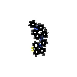 C1=Cc2sc3ccccc3c2C(N(c2ccccc2)c2cccc(-n3c4cccc5c4c4c6c(ccc7c6c6c-5cccc6n7-c5ccccc5)ccc43)c2)C1